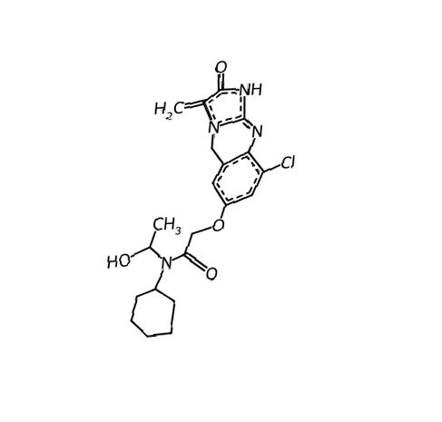 C=c1c(=O)[nH]c2n1Cc1cc(OCC(=O)N(C(C)O)C3CCCCC3)cc(Cl)c1N=2